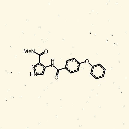 CNC(=O)c1n[nH]cc1NC(=O)c1ccc(Oc2ccccc2)cc1